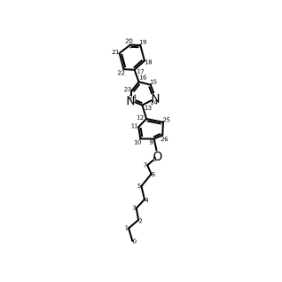 CCCCCCCCOc1ccc(-c2ncc(-c3cc[c]cc3)cn2)cc1